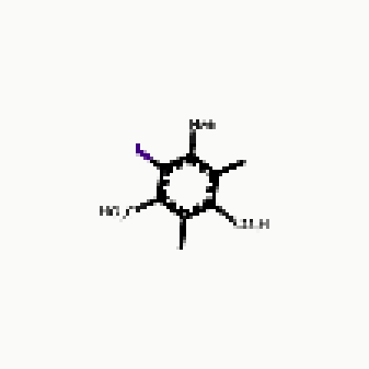 CNc1c(C)c(C(=O)O)c(C)c(C(=O)O)c1I